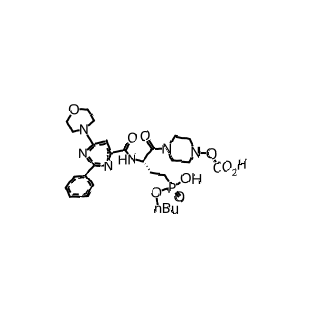 CCCCOP(=O)(O)CC[C@H](NC(=O)c1cc(N2CCOCC2)nc(-c2ccccc2)n1)C(=O)N1CCN(OC(=O)O)CC1